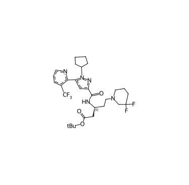 CC(C)(C)OC(=O)C[C@H](CCN1CCCC(F)(F)C1)NC(=O)c1cc(-c2ncccc2C(F)(F)F)n(C2CCCC2)n1